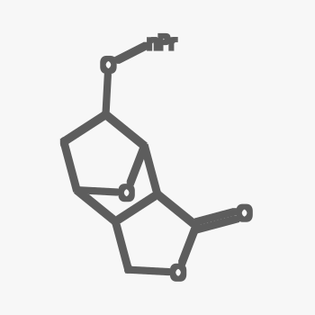 CCCOC1CC2OC1C1C(=O)OCC21